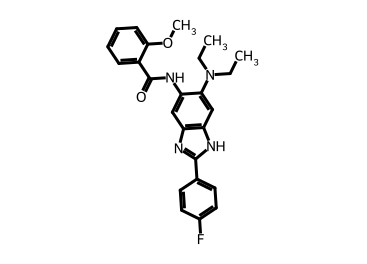 CCN(CC)c1cc2[nH]c(-c3ccc(F)cc3)nc2cc1NC(=O)c1ccccc1OC